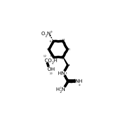 N=C(N)NC[C@H]1CC[C@H]([N+](=O)[O-])CC1.O=C(O)O